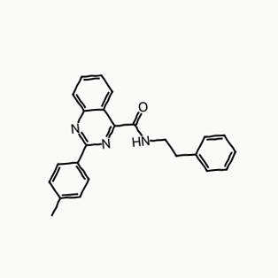 Cc1ccc(-c2nc(C(=O)NCCc3ccccc3)c3ccccc3n2)cc1